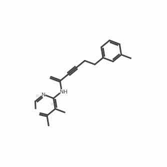 C=C(C#CCCc1cccc(C)c1)NC(/N=C\C)=C(\C)C(=C)C